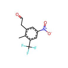 Cc1c(CC=O)cc([N+](=O)[O-])cc1C(F)(F)F